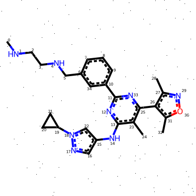 CNCCNCc1cccc(-c2nc(Nc3cnn(C4CC4)c3)c(C)c(-c3c(C)noc3C)n2)c1